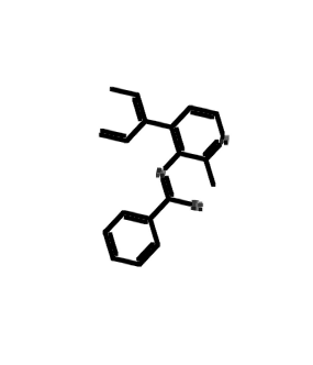 C=C/C(=C\C)c1ccnc(C)c1/N=C(\CC)c1ccccc1